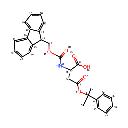 CC(C)(OC(=O)C[C@H](NC(=O)OCC1c2ccccc2-c2ccccc21)C(=O)O)c1ccccc1